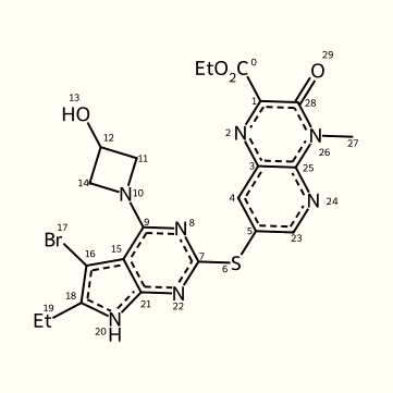 CCOC(=O)c1nc2cc(Sc3nc(N4CC(O)C4)c4c(Br)c(CC)[nH]c4n3)cnc2n(C)c1=O